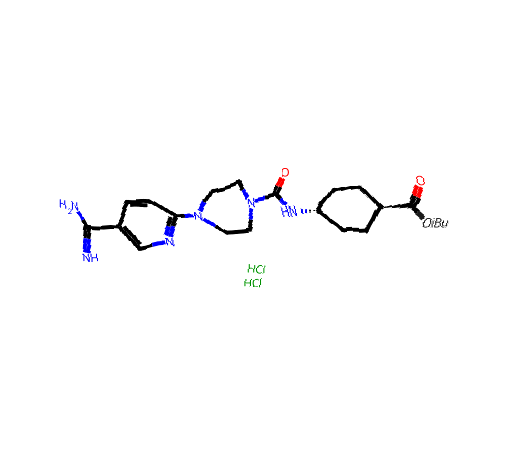 CC(C)COC(=O)[C@H]1CC[C@H](NC(=O)N2CCN(c3ccc(C(=N)N)cn3)CC2)CC1.Cl.Cl